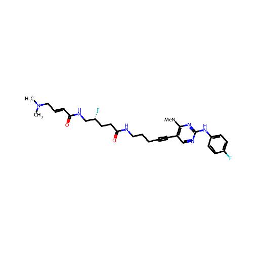 CNc1nc(Nc2ccc(F)cc2)ncc1C#CCCCNC(=O)CC[C@@H](F)CNC(=O)/C=C/CN(C)C